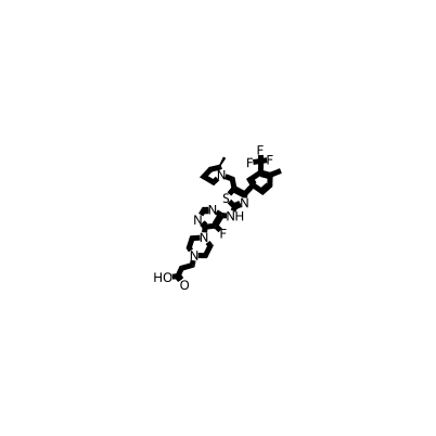 Cc1ccc(-c2nc(Nc3ncnc(N4CCN(CCC(=O)O)CC4)c3F)sc2CN2CCC[C@H]2C)cc1C(F)(F)F